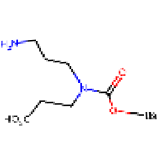 CC(C)(C)OC(=O)N(CCCN)CCC(=O)O